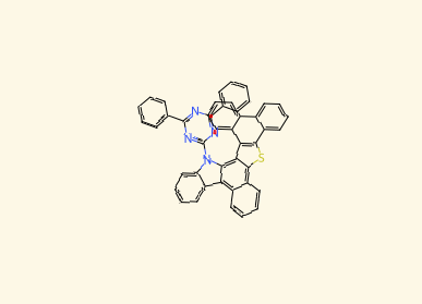 c1ccc(-c2nc(-c3ccccc3)nc(-n3c4ccccc4c4c5ccccc5c5sc6c7ccccc7c7ccccc7c6c5c43)n2)cc1